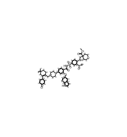 COC(=O)C1(CNc2ccc(S(=O)(=O)NC(=O)c3ccc(N4CCN(CC5=C(c6ccc(Cl)cc6)CC(C)(C)CC5)CC4)cc3Oc3cnc4[nH]ccc4c3)cc2[N+](=O)[O-])CCOCC1